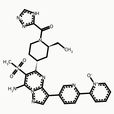 CC[C@H]1C[C@H](c2nc3c(-c4ccc(-c5cccc[n+]5[O-])nc4)cnn3c(N)c2S(C)(=O)=O)CCN1C(=O)c1nnc[nH]1